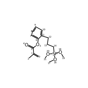 C=C(C)C(=O)Oc1ccccc1CCC[Si](OC)(OC)OC